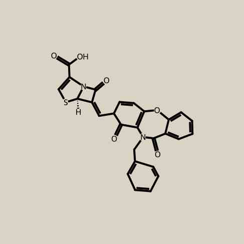 O=C(O)C1=CS[C@@H]2/C(=C/C3C=CC4=C(C3=O)N(Cc3ccccc3)C(=O)c3ccccc3O4)C(=O)N12